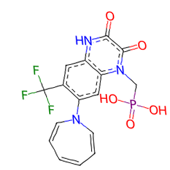 O=c1[nH]c2cc(C(F)(F)F)c(N3C=CC=CC=C3)cc2n(CP(=O)(O)O)c1=O